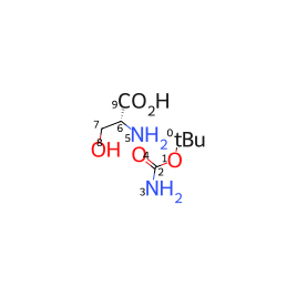 CC(C)(C)OC(N)=O.N[C@H](CO)C(=O)O